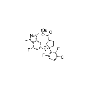 Cc1nn(C)c2cc(NC3(c4c(F)ccc(Cl)c4Cl)CCN(C(=O)OC(C)(C)C)C3)cc(F)c12